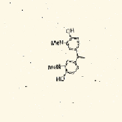 CNc1cc(C(C)c2ccc(O)c(NC)c2)ccc1O